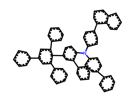 c1ccc(-c2ccc(N(c3ccc(-c4cccc5ccccc45)cc3)c3ccc(-c4c(-c5ccccc5)cc(-c5ccccc5)cc4-c4ccccc4)cc3-c3ccccc3)cc2)cc1